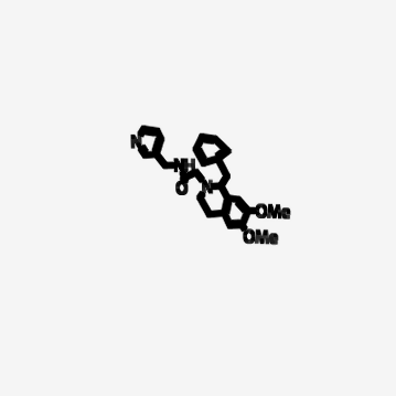 COc1cc2c(cc1OC)C(Cc1ccccc1)N(CC(=O)NCc1cccnc1)CC2